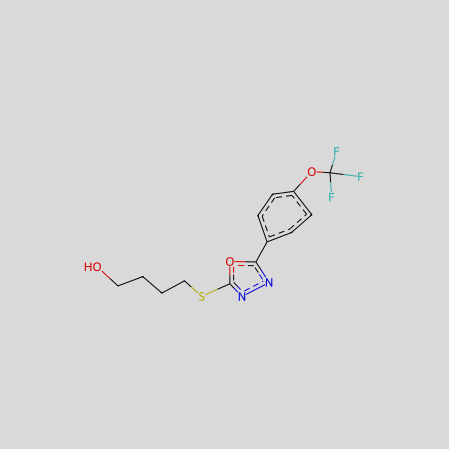 OCCCCSc1nnc(-c2ccc(OC(F)(F)F)cc2)o1